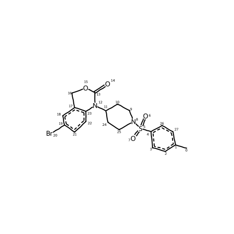 Cc1ccc(S(=O)(=O)N2CCC(N3C(=O)OCc4cc(Br)ccc43)CC2)cc1